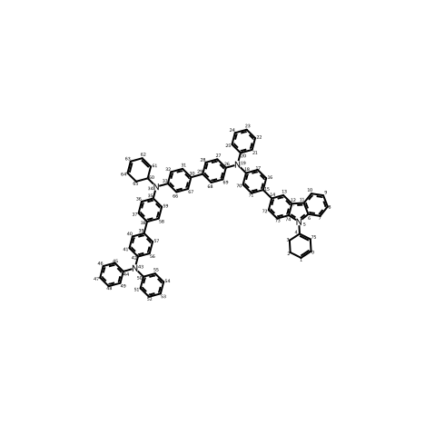 C1=CCCC(n2c3ccccc3c3cc(-c4ccc(N(c5ccccc5)c5ccc(-c6ccc(N(c7ccc(-c8ccc(N(c9ccccc9)c9ccccc9)cc8)cc7)C7C=CC=CC7)cc6)cc5)cc4)ccc32)=C1